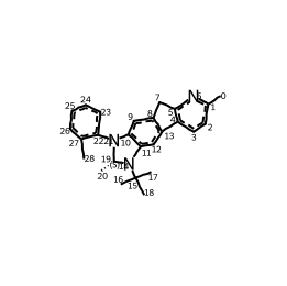 Cc1ccc2c(n1)Cc1cc3c(cc1-2)N(C(C)(C)C)[C@H](C)N3c1ccccc1C